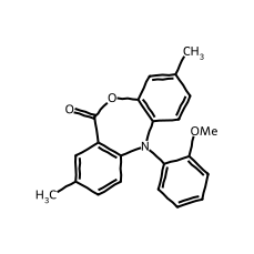 COc1ccccc1N1c2ccc(C)cc2OC(=O)c2cc(C)ccc21